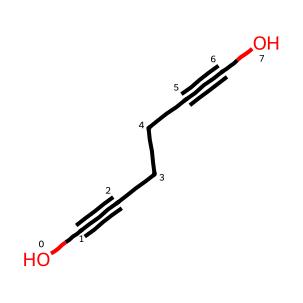 OC#CCCC#CO